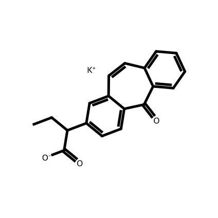 CCC(C(=O)[O-])c1ccc2c(=O)c3ccccc3ccc2c1.[K+]